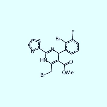 COC(=O)C1=C(CBr)NC(c2nccs2)=NC1c1cccc(F)c1Br